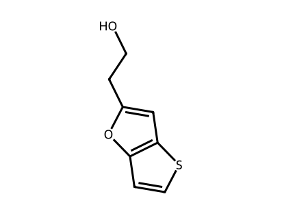 OCCc1cc2sccc2o1